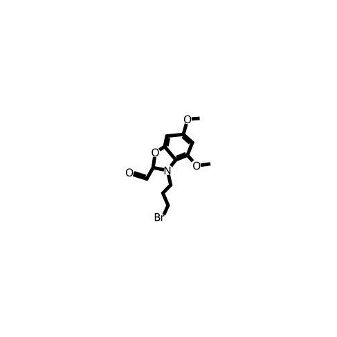 COc1cc(OC)c2c(c1)OC(C=O)N2CCCBr